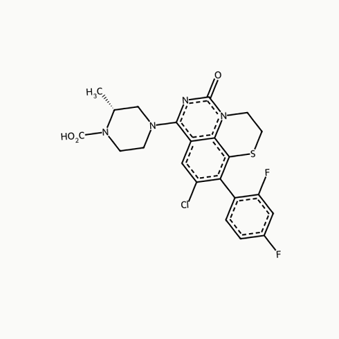 C[C@@H]1CN(c2nc(=O)n3c4c(c(-c5ccc(F)cc5F)c(Cl)cc24)SCC3)CCN1C(=O)O